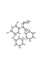 Cc1cc(C)c(C(=O)P=O)cc1C.c1ccc(-c2ccccc2)cc1